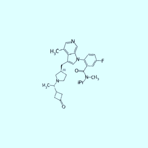 Cc1cncc2c1c(C[C@H]1CCN(C(C)C3CC(=O)C3)C1)cn2-c1ccc(F)cc1C(=O)N(C)C(C)C